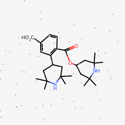 CC1(C)CC(OC(=O)c2ccc(C(=O)O)cc2C2CC(C)(C)NC(C)(C)C2)CC(C)(C)N1